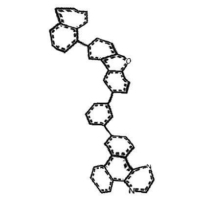 c1cc(-c2ccc3oc4ccc(-c5cccc6ccccc56)cc4c3c2)cc(-c2ccc3c(c2)c2ccccc2c2nccnc32)c1